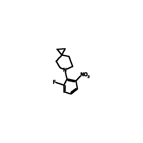 O=[N+]([O-])c1cccc(F)c1N1CCC2(CC1)CC2